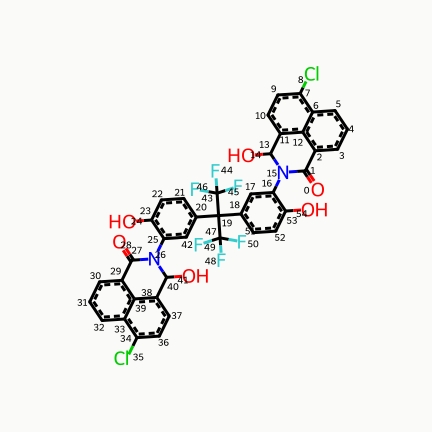 O=C1c2cccc3c(Cl)ccc(c23)C(O)N1c1cc(C(c2ccc(O)c(N3C(=O)c4cccc5c(Cl)ccc(c45)C3O)c2)(C(F)(F)F)C(F)(F)F)ccc1O